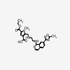 CCOC(=O)c1cc(C(=O)O)c(CNCCNc2nccc3ccc(-c4noc(C)n4)cc23)n1C